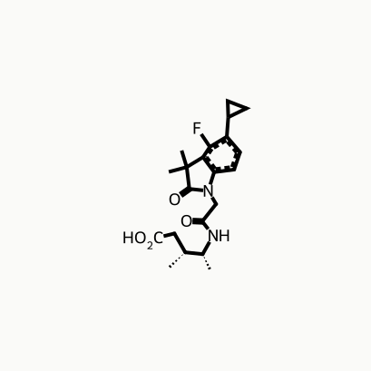 C[C@H](CC(=O)O)[C@@H](C)NC(=O)CN1C(=O)C(C)(C)c2c1ccc(C1CC1)c2F